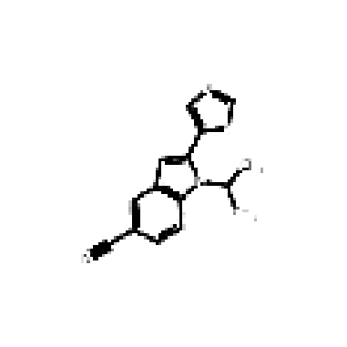 CC(C)n1c(-c2cncs2)cc2cc(C#N)ccc21